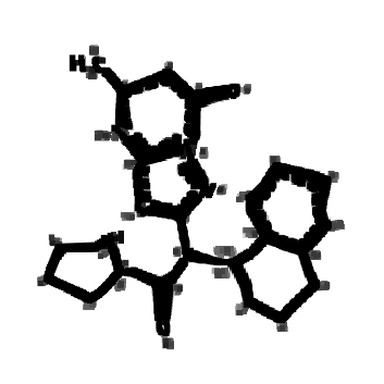 Cc1cc(=O)n2nc(N(C(=O)[C@H]3CCCN3)[C@@H]3CCCc4ccccc43)sc2n1